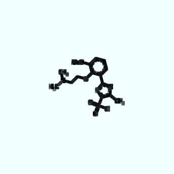 COc1cccc(-c2nc(C)c(S(=O)(=O)Cl)s2)c1OCCN(C)C